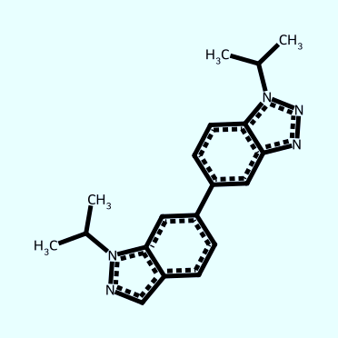 CC(C)n1ncc2ccc(-c3ccc4c(c3)nnn4C(C)C)cc21